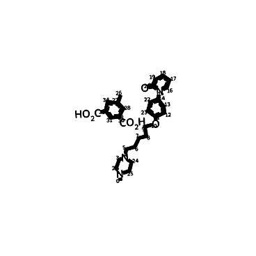 CN1CCN(CCCCCOc2ccc(-n3ccccc3=O)cc2)CC1.Cc1cc(C(=O)O)cc(C(=O)O)c1